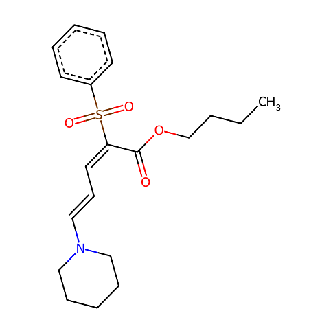 CCCCOC(=O)/C(=C\C=C\N1CCCCC1)S(=O)(=O)c1ccccc1